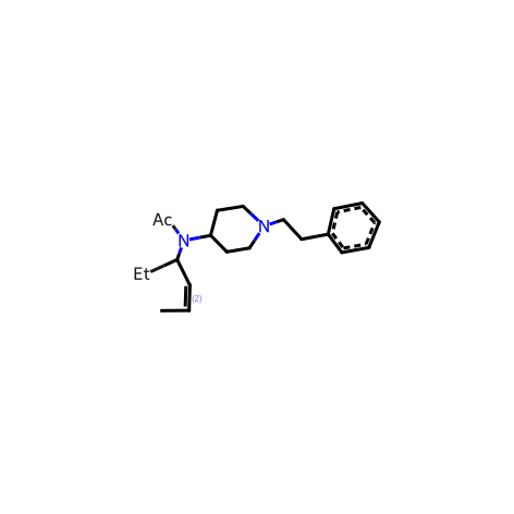 C/C=C\C(CC)N(C(C)=O)C1CCN(CCc2ccccc2)CC1